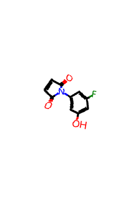 O=C1C=CC(=O)N1c1cc(O)cc(F)c1